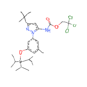 Cc1cc(O[Si](C(C)C)(C(C)C)C(C)C)cc(-n2nc(C(C)(C)C)cc2NC(=O)OCC(Cl)(Cl)Cl)c1